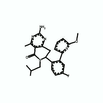 COc1cccc(-c2cc(F)ccc2C2Cc3nc(N)nc(C)c3C(=O)N2CC(C)C)n1